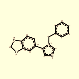 c1ccc(Cn2cncc2-c2ccc3c(c2)OCO3)cc1